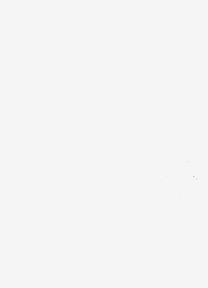 CCCCOc1cccc(-c2cccc(Cc3nnc(C)o3)c2)c1